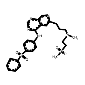 CN(CCCc1cc2c(Nc3ccc(S(=O)(=O)c4ccccc4)cc3)ncnc2cn1)CCS(C)(=O)=O